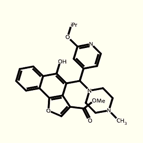 COC(=O)c1coc2c1c(C(c1ccnc(OC(C)C)c1)N1CCN(C)CC1)c(O)c1ccccc12